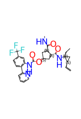 C=C[C@@H]1C[C@@]1(CC)NC(=O)[C@@H]1C[C@@H](OC(=O)Nc2cc(C(F)(F)F)ccc2-c2ccccn2)C[C@H]1C(=O)NC